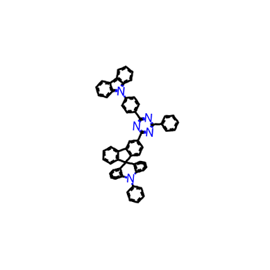 c1ccc(-c2nc(-c3ccc(-n4c5ccccc5c5ccccc54)cc3)nc(-c3ccc4c(c3)-c3ccccc3C43c4ccccc4N(c4ccccc4)c4ccccc43)n2)cc1